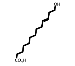 O=C(O)CCCCCCCC/C=C/CCO